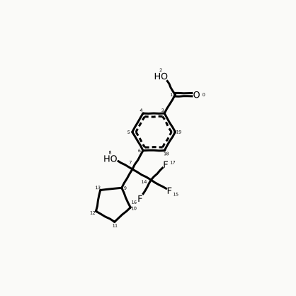 O=C(O)c1ccc(C(O)(C2CCCC2)C(F)(F)F)cc1